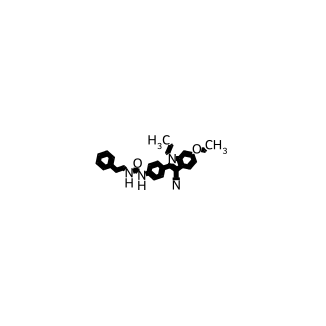 CCCn1c(-c2ccc(NC(=O)NCCc3ccccc3)cc2)c(C#N)c2ccc(OCC)cc21